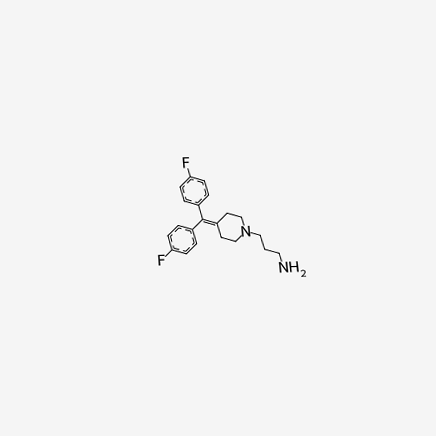 NCCCN1CCC(=C(c2ccc(F)cc2)c2ccc(F)cc2)CC1